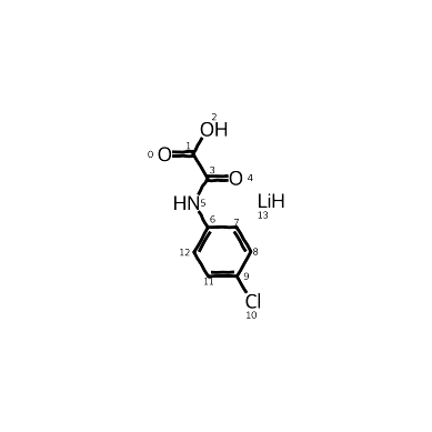 O=C(O)C(=O)Nc1ccc(Cl)cc1.[LiH]